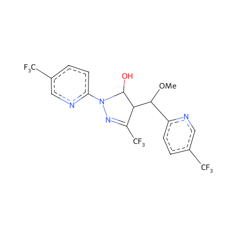 COC(c1ccc(C(F)(F)F)cn1)C1C(C(F)(F)F)=NN(c2ccc(C(F)(F)F)cn2)C1O